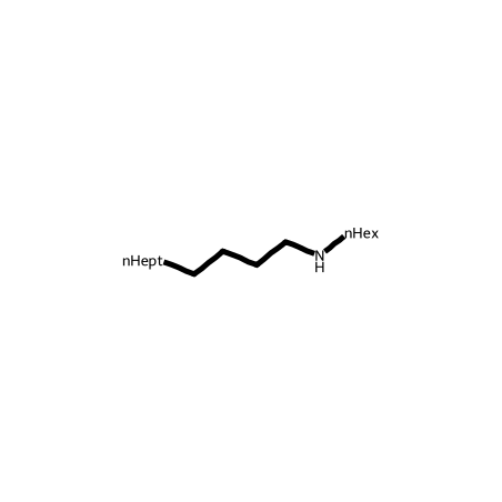 [CH2]CCCCCNCCCCCCCCCCC